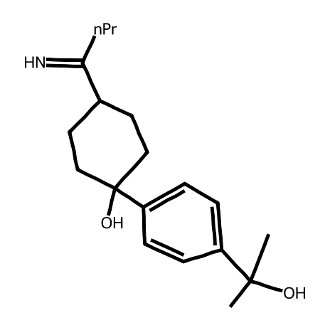 C[CH]CC(=N)C1CCC(O)(c2ccc(C(C)(C)O)cc2)CC1